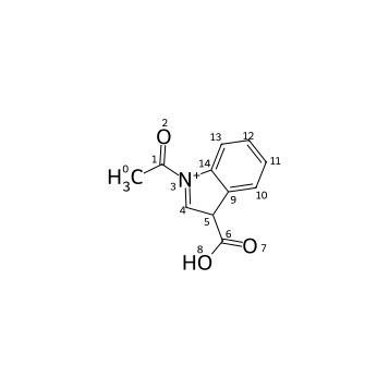 CC(=O)[N+]1=CC(C(=O)O)c2ccccc21